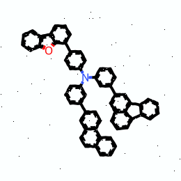 c1cc(-c2cc3c4c(cccc4c2)-c2ccccc2-3)cc(N(c2ccc(-c3cccc4c3oc3ccccc34)cc2)c2cccc(-c3ccc4c(ccc5ccccc54)c3)c2)c1